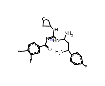 NC(CC(N)c1ccc(F)cc1)N/C(=N\C(=O)c1ccc(F)c(F)c1)NC1COC1